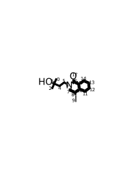 CC(C)(O)CCn1cc(I)c2ccccc2c1=O